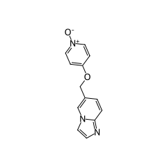 [O-][n+]1ccc(OCc2ccc3nccn3c2)cc1